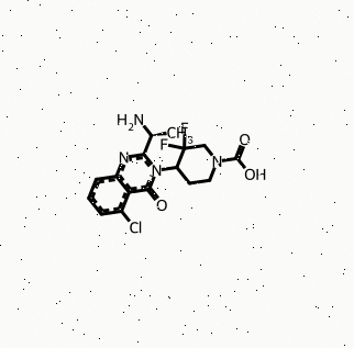 C[C@H](N)c1nc2cccc(Cl)c2c(=O)n1C1CCN(C(=O)O)CC1(F)F